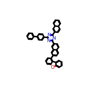 C1=CC2C=CC(c3nc(-c4ccc(-c5ccccc5)cc4)nc(-c4ccc5ccc(-c6cccc7oc8ccccc8c67)cc5c4)n3)=CC2C=C1